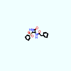 O=C(Cc1ccccc1)N[C@@H]1C(=O)NC1S(=O)(=O)c1ccccc1